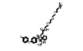 [N-]=[N+]=NCCOCCOCCOCCNC(=O)CCN(C1(C(=O)NO)CCCC1)S(=O)(=O)c1ccc(Oc2ccc(F)cc2)cc1